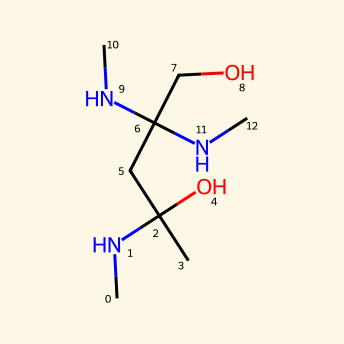 CNC(C)(O)CC(CO)(NC)NC